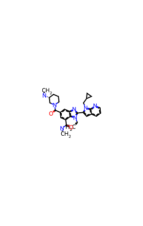 C=Cn1c(-c2cc3cccnc3n2CC2CC2)nc2cc(C(=O)N3CCC[C@@H](N=C)C3)cc(C(=O)N=C)c21